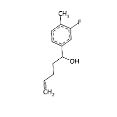 C=CCCC(O)c1ccc(C)c(F)c1